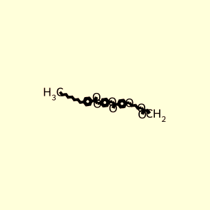 C=CC(=O)OCCCOc1ccc(C(=O)Oc2ccc(OC(=O)c3ccc(CCCCCCCC)cc3)cc2)cc1